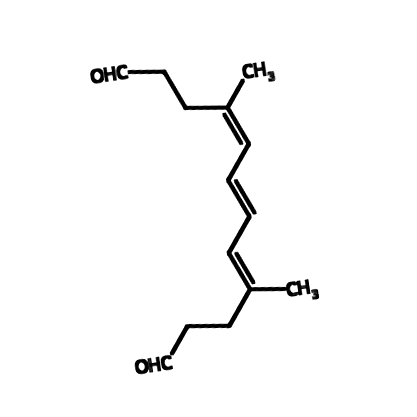 CC(=CC=CC=C(C)CCC=O)CCC=O